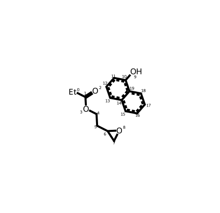 CCC(=O)OCCC1CO1.Oc1cccc2ccccc12